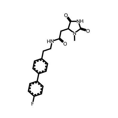 CN1C(=O)NC(=O)C1CC(=O)NCCc1ccc(-c2ccc(F)cc2)cc1